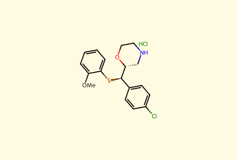 COc1ccccc1S[C@H](c1ccc(Cl)cc1)[C@H]1CNCCO1.Cl